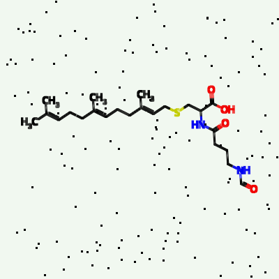 CC(C)=CCC/C(C)=C/CC/C(C)=C/CSCC(NC(=O)CCCNC=O)C(=O)O